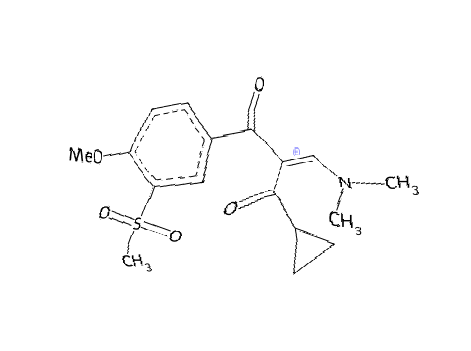 COc1ccc(C(=O)/C(=C/N(C)C)C(=O)C2CC2)cc1S(C)(=O)=O